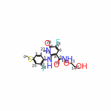 CSc1ccc(Nc2c(C(=O)NOCCO)cc(F)c(=O)n2C)c(F)c1